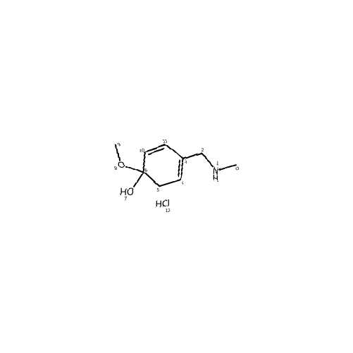 CNCC1=CCC(O)(OC)C=C1.Cl